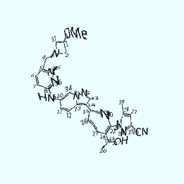 COC1CN(Cc2ccc(Nc3ccc4c(-c5ccc([C@H](C)O)c(-n6nc(C#N)cc6C)n5)cnn4c3)nn2)C1